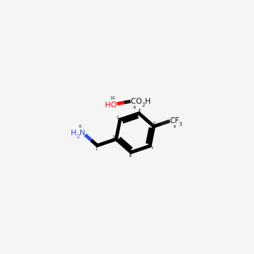 NCc1ccc(C(F)(F)F)cc1.O=C(O)O